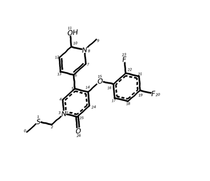 CSCn1cc(C2=CN(C)C(O)C=C2)c(Oc2ccc(F)cc2F)cc1=O